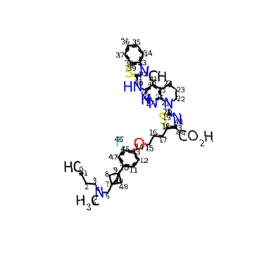 C#CCCN(C)CC12CC(c3ccc(OCCCc4sc(N5CCCc6c5nnc(Nc5nc7ccccc7s5)c6C)nc4C(=O)O)c(F)c3)(C1)C2